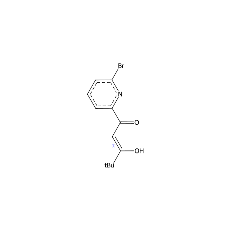 CC(C)(C)/C(O)=C/C(=O)c1cccc(Br)n1